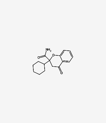 NC(=O)C1(C2CCCCC2)CC(=O)c2ccccc2O1